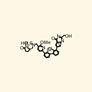 COc1nc(-c2cccc(-c3cccc(-c4cc5c(=O)n(C)c(CO)nn5c4)c3Cl)c2Cl)ccc1CN(C[C@H]1CCC(=O)N1)C(=O)O